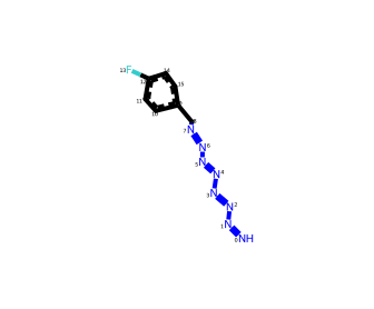 N=NN=NN=NN=NCc1ccc(F)cc1